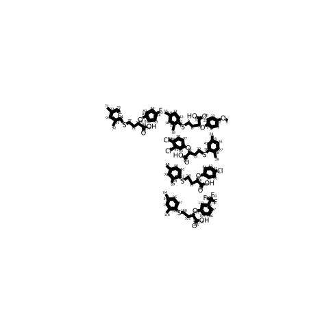 COc1ccc(OC(CCSc2ccc(C)cc2C)C(=O)O)cc1.Cc1ccc(C)c(SCCC(Oc2ccc(Cl)c(Cl)c2)C(=O)O)c1.Cc1ccc(SCCC(Oc2ccc(Cl)cc2)C(=O)O)c(C)c1.Cc1ccc(SCCC(Oc2ccc(F)cc2)C(=O)O)c(C)c1.Cc1ccc(SCCC(Oc2cccc(C(F)(F)F)c2)C(=O)O)c(C)c1